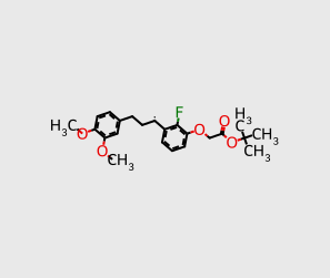 COc1ccc(CC[CH]c2cccc(OCC(=O)OC(C)(C)C)c2F)cc1OC